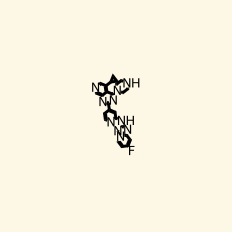 Fc1ccn2nc(Nc3cc(-c4nc(N5CCNCC5)c5c(C6CC6)cncc5n4)ccn3)nc2c1